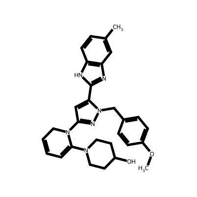 COc1ccc(Cn2nc(N3CC=CC=C3N3CCC(O)CC3)cc2-c2nc3cc(C)ccc3[nH]2)cc1